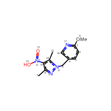 COc1ccc(Cn2nc(C)c([N+](=O)O)c2C)cn1